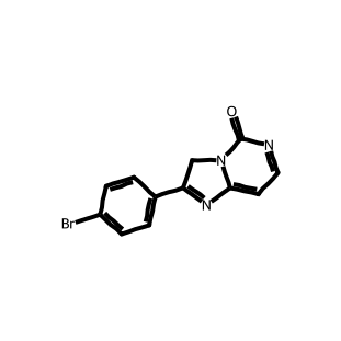 O=c1nccc2n1CC(c1ccc(Br)cc1)=N2